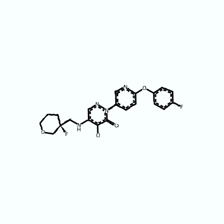 O=c1c(Cl)c(NC[C@@]2(F)CCCOC2)cnn1-c1ccc(Oc2ccc(F)cc2)nc1